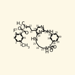 Cc1ccc(F)c(S(=O)(=O)N(C)CCc2cnc3nc2NCCCNS(=O)(=O)c2cccc(c2)N3)c1